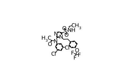 CCNS(=O)(=O)c1cnc(N(C(C)=O)c2cc(Cl)cc(Cl)c2)n1CCc1ccc(OC(F)(F)F)cc1